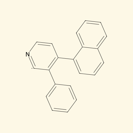 [c]1nccc(-c2cccc3ccccc23)c1-c1ccccc1